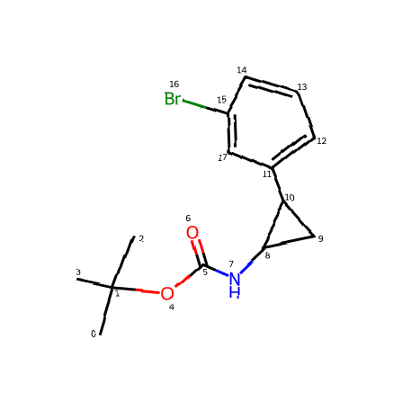 CC(C)(C)OC(=O)NC1CC1c1cccc(Br)c1